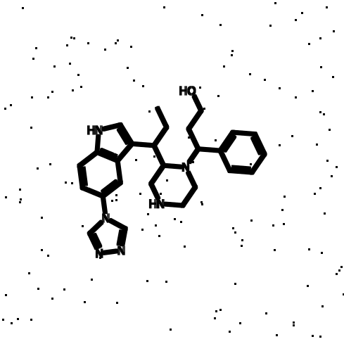 CCC(c1c[nH]c2ccc(-n3cnnc3)cc12)C1CNCCN1C(CCO)c1ccccc1